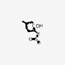 Cc1ccc(N=S(=O)=O)cc1.Cl